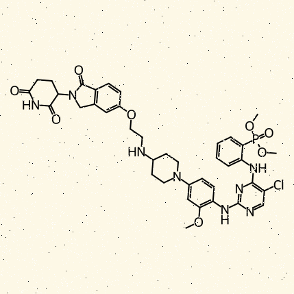 COc1cc(N2CCC(NCCOc3ccc4c(c3)CN(C3CCC(=O)NC3=O)C4=O)CC2)ccc1Nc1ncc(Cl)c(Nc2ccccc2P(=O)(OC)OC)n1